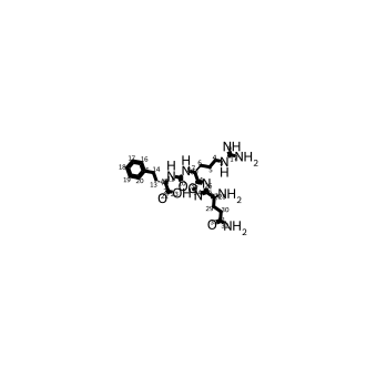 N=C(N)NCCC[C@H](NC(=O)N[C@@H](CCc1ccccc1)C(=O)O)c1nc([C@@H](N)CCC(N)=O)no1